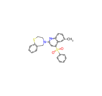 Cc1ccc2nc(N3CCSc4ccccc4C3)cc(S(=O)(=O)c3ccccc3)c2c1